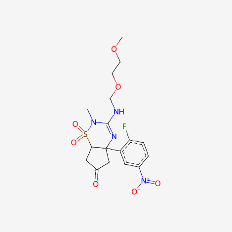 COCCOCNC1=NC2(c3cc([N+](=O)[O-])ccc3F)CC(=O)CC2S(=O)(=O)N1C